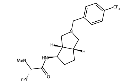 CCC[C@H](NC)C(=O)N[C@@H]1CC[C@H]2CN(Cc3ccc(C(F)(F)F)cc3)C[C@H]21